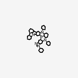 c1ccc(N2c3cc4c5cccc6c7ccccc7n(c4cc3B3c4cc7ncn(-c8ccccc8)c7cc4N(c4ccccc4)c4cccc2c43)c65)cc1